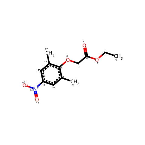 CCOC(=O)COc1c(C)cc([N+](=O)[O-])cc1C